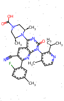 Cc1ccc(F)c(-c2nc3c(cc2C#N)c(N2[C@H](C)CN(C(=O)O)C[C@@H]2C)nc(=O)n3-c2c(C)ccnc2C(C)C)c1